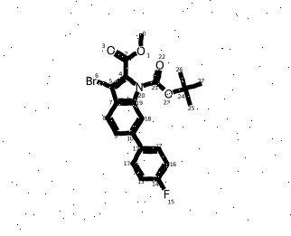 COC(=O)c1c(Br)c2ccc(-c3ccc(F)cc3)cc2n1C(=O)OC(C)(C)C